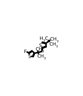 CC(C)(C)c1csc(CC(C)(C)c2csc(F)c2)c1